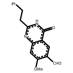 COc1cc2nc(CCC(C)C)[nH]c(=O)c2cc1C=O